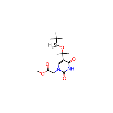 COC(=O)Cn1cc(C(C)(C)O[SiH2]C(C)(C)C)c(=O)[nH]c1=O